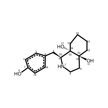 Oc1ccc(C[C@@H]2NCC[C@@]3(O)CCCC[C@]23O)cc1